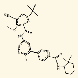 COc1c(C#N)cc(C(C)(C)C)cc1C(=O)Nc1cnc(C)c(-c2ccc(C(=O)NC3CCCCC3(C)C)cc2)c1